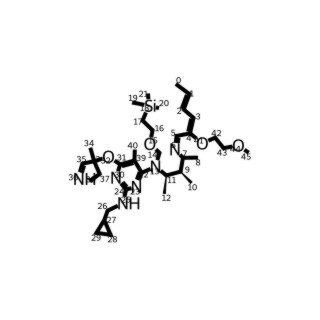 C/C=C/C=C(\C=N/C(C)[C@@H](C)[C@@H](C)N(COCC[Si](C)(C)C)c1nc(NCC2CC2)nc(OC(C)(C=N)CC)c1C)OCCOC